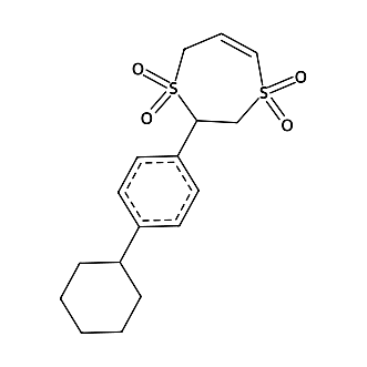 O=S1(=O)C=CCS(=O)(=O)C(c2ccc(C3CCCCC3)cc2)C1